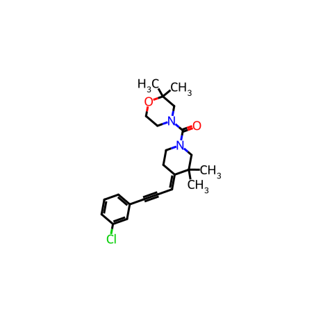 CC1(C)CN(C(=O)N2CC/C(=C\C#Cc3cccc(Cl)c3)C(C)(C)C2)CCO1